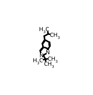 CC(C)Cc1ccc2nc(C(C)(C)C)ncc2c1